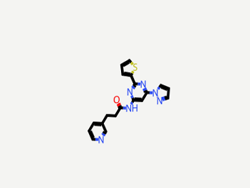 O=C(CCc1cccnc1)Nc1cc(-n2cccn2)nc(-c2cccs2)n1